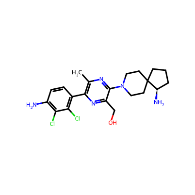 Cc1nc(N2CCC3(CCC[C@H]3N)CC2)c(CO)nc1-c1ccc(N)c(Cl)c1Cl